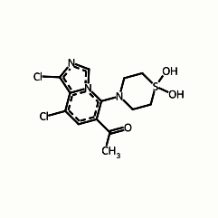 CC(=O)c1cc(Cl)c2c(Cl)ncn2c1N1CCS(O)(O)CC1